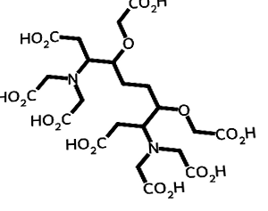 O=C(O)COC(CCC(OCC(=O)O)C(CC(=O)O)N(CC(=O)O)CC(=O)O)C(CC(=O)O)N(CC(=O)O)CC(=O)O